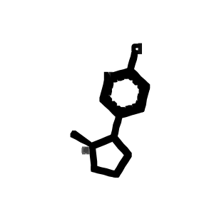 C[C@@H]1CCCC1c1ccc(Cl)nc1